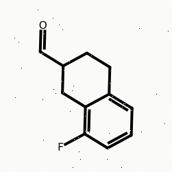 O=CC1CCc2cccc(F)c2C1